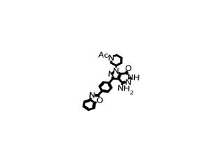 CC(=O)N1CCC[C@@H](n2nc(-c3ccc(-c4nc5ccccc5o4)cc3)c3c(N)n[nH]c(=O)c32)C1